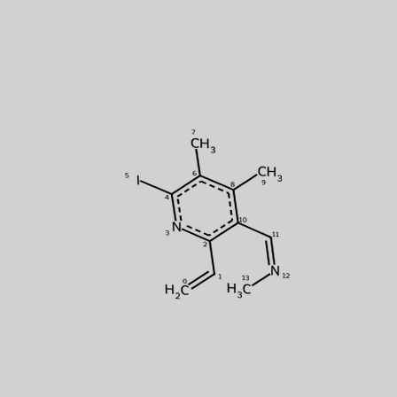 C=Cc1nc(I)c(C)c(C)c1/C=N\C